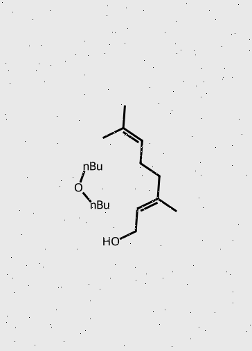 CC(C)=CCCC(C)=CCO.CCCCOCCCC